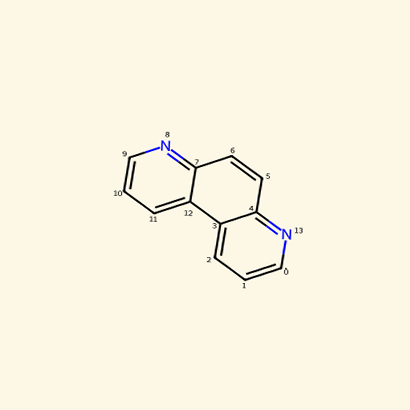 [c]1ccc2c(ccc3ncccc32)n1